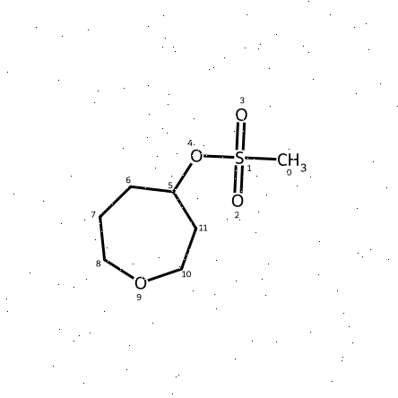 CS(=O)(=O)OC1CCCOCC1